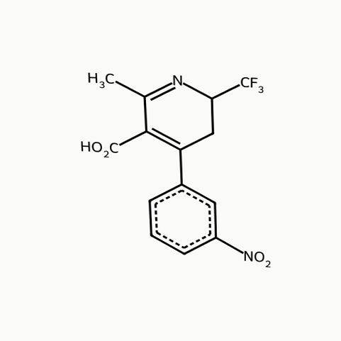 CC1=NC(C(F)(F)F)CC(c2cccc([N+](=O)[O-])c2)=C1C(=O)O